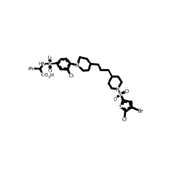 CC(C)C(NS(=O)(=O)c1ccc(N2CCC(CCCC3CCN(S(=O)(=O)c4cc(Br)c(Cl)s4)CC3)CC2)c(Cl)c1)C(=O)O